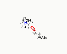 CC[C@@H]1CCC[N+]1(C)CCOCCOC